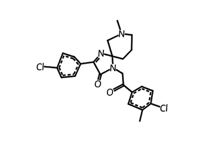 Cc1cc(C(=O)CN2C(=O)C(c3ccc(Cl)cc3)=NC23CCCN(C)C3)ccc1Cl